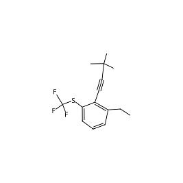 CCc1cccc(SC(F)(F)F)c1C#CC(C)(C)C